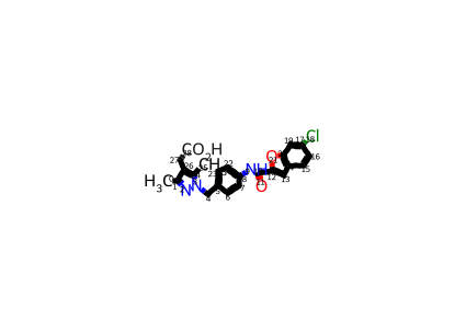 Cc1nn(Cc2ccc(NC(=O)c3cc4ccc(Cl)cc4o3)cc2)c(C)c1CC(=O)O